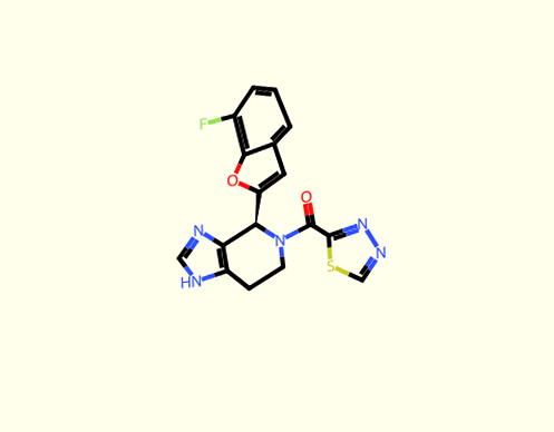 O=C(c1nncs1)N1CCc2[nH]cnc2[C@H]1c1cc2cccc(F)c2o1